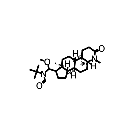 COC(C1CC[C@H]2[C@@H]3CC[C@H]4N(C)C(=O)CC[C@]4(C)[C@H]3CC[C@]12C)N(C=O)C(C)(C)C